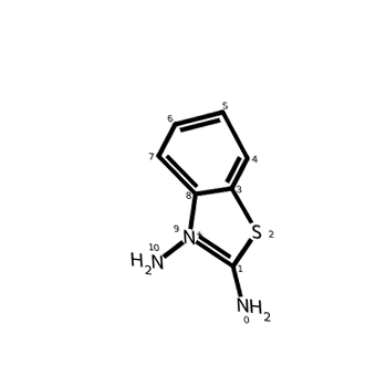 Nc1sc2ccccc2[n+]1N